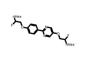 CCCCCCC(F)COc1ccc(-c2ncc(OCC(F)CCCCCC)cn2)cc1